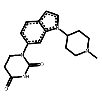 CN1CCC(n2ccc3ccc(N4CCC(=O)NC4=O)cc32)CC1